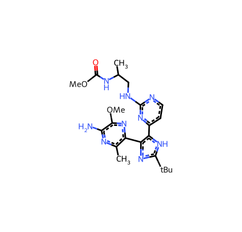 COC(=O)NC(C)CNc1nccc(-c2[nH]c(C(C)(C)C)nc2-c2nc(OC)c(N)nc2C)n1